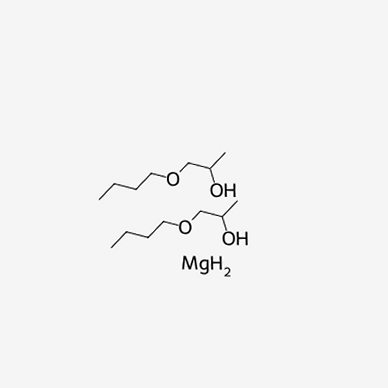 CCCCOCC(C)O.CCCCOCC(C)O.[MgH2]